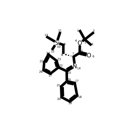 CC(C)(C)OC(=O)[C@@H](CC[Si](C)(C)C)N=C(c1ccccc1)c1ccccc1